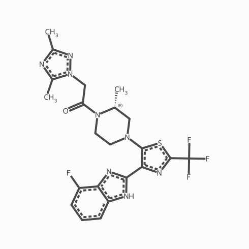 Cc1nc(C)n(CC(=O)N2CCN(c3sc(C(F)(F)F)nc3-c3nc4c(F)cccc4[nH]3)C[C@H]2C)n1